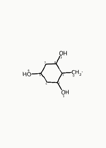 [CH2]C1C(O)CC(O)CC1O